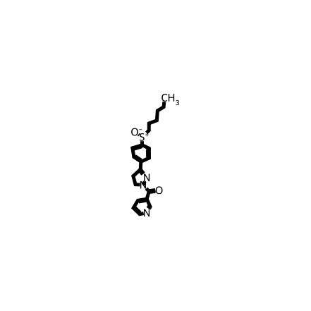 CCCCCC[S+]([O-])c1ccc(C2=NN(C(=O)c3cccnc3)CC2)cc1